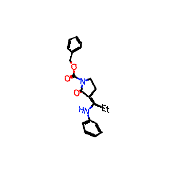 CC/C(Nc1ccccc1)=C1\CCN(C(=O)OCc2ccccc2)C1=O